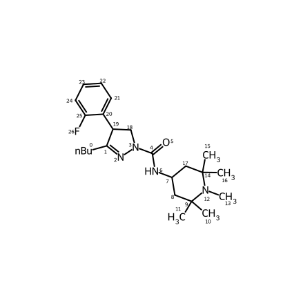 CCCCC1=NN(C(=O)NC2CC(C)(C)N(C)C(C)(C)C2)CC1c1ccccc1F